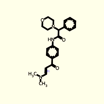 CN(C)/C=C/C(=O)c1ccc(NC(=O)C(c2ccccc2)N2CCOCC2)cc1